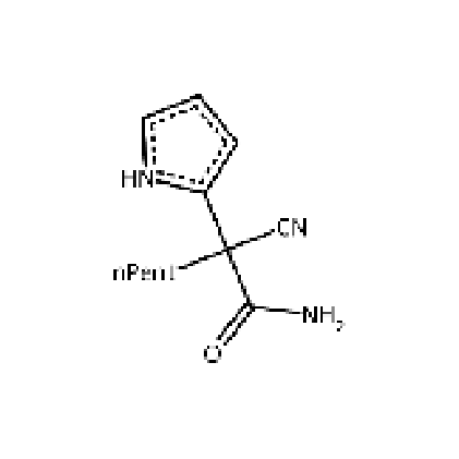 CCCCCC(C#N)(C(N)=O)c1ccc[nH]1